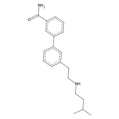 CC(C)CCNCCc1cccc(-c2cccc(C(N)=O)c2)c1